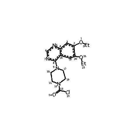 CCOc1cc2ncnc(N3CCN(C(=O)Cl)CC3)c2cc1OCC